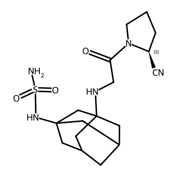 N#C[C@@H]1CCCN1C(=O)CNC12CC3CC(C1)CC(NS(N)(=O)=O)(C3)C2